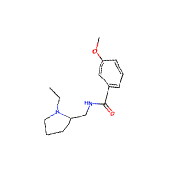 CCN1CCCC1CNC(=O)c1cccc(OC)c1